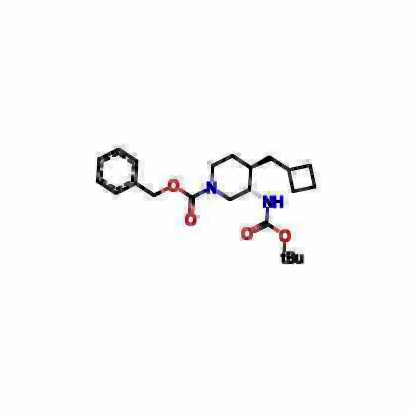 CC(C)(C)OC(=O)N[C@@H]1CN(C(=O)OCc2ccccc2)CC[C@H]1CC1CCC1